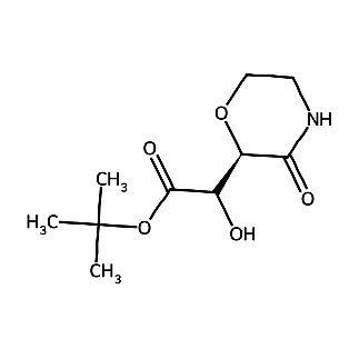 CC(C)(C)OC(=O)C(O)[C@H]1OCCNC1=O